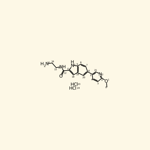 COc1ccc(-c2ccc3[nH]c(C(=O)NCCN)cc3c2)cn1.Cl.Cl